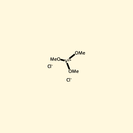 C[O][V+2]([O]C)[O]C.[Cl-].[Cl-]